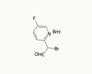 Br.O=CC(Br)c1ccc(F)cn1